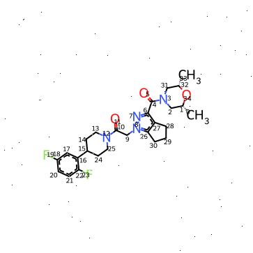 C[C@@H]1CN(C(=O)c2nn(CC(=O)N3CCC(c4cc(F)ccc4F)CC3)c3c2CCC3)C[C@H](C)O1